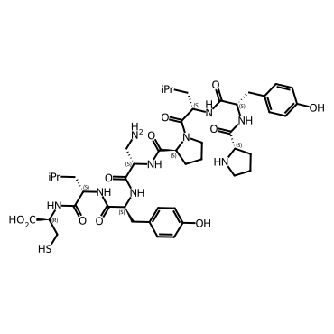 CC(C)C[C@H](NC(=O)[C@H](Cc1ccc(O)cc1)NC(=O)[C@H](CN)NC(=O)[C@@H]1CCCN1C(=O)[C@H](CC(C)C)NC(=O)[C@H](Cc1ccc(O)cc1)NC(=O)[C@@H]1CCCN1)C(=O)N[C@@H](CS)C(=O)O